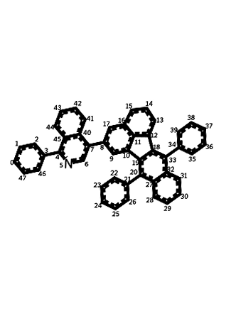 c1ccc(-c2ncc(-c3cc4c5c(cccc5c3)-c3c-4c(-c4ccccc4)c4ccccc4c3-c3ccccc3)c3ccccc23)cc1